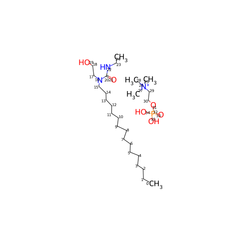 CCCCCCCCCCCCCCCCN(CCO)C(=O)NCC.C[N+](C)(C)CCOP(=O)(O)O